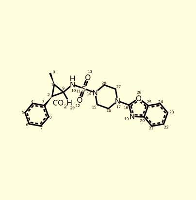 C[C@@H]1[C@H](c2ccccc2)C1(NS(=O)(=O)N1CCN(c2nc3ccccc3o2)CC1)C(=O)O